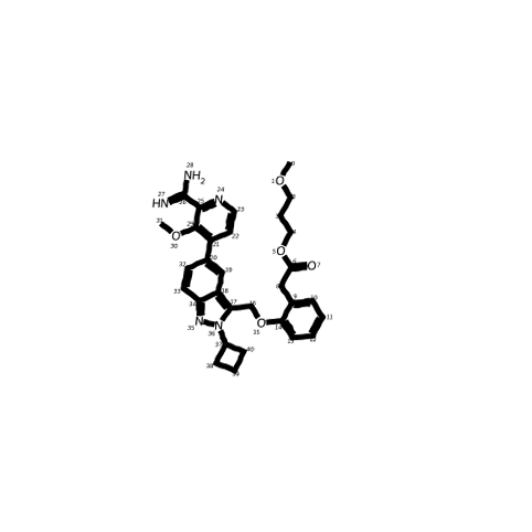 COCCCOC(=O)Cc1ccccc1OCc1c2cc(-c3ccnc(C(=N)N)c3OC)ccc2nn1C1CCC1